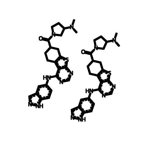 CN(C)C1CCN(C(=O)C2CCc3c(sc4ncnc(Nc5ccc6[nH]ncc6c5)c34)C2)C1.CN(C)C1CCN(C(=O)C2CCc3c(sc4ncnc(Nc5ccc6[nH]ncc6c5)c34)C2)C1